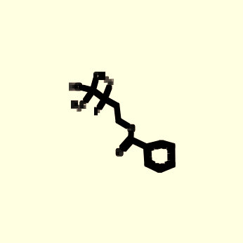 CC(C)(O)C(F)(F)CCOC(=O)c1ccccc1